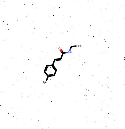 Cc1ccc(C=CC(=O)NC[C]=O)cc1